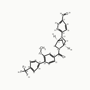 COc1cc(C(=O)N2C[C@@H]3C[C@H]2CN3c2ccc(N=O)nn2)ccc1-c1ccc(C(F)(F)F)cc1